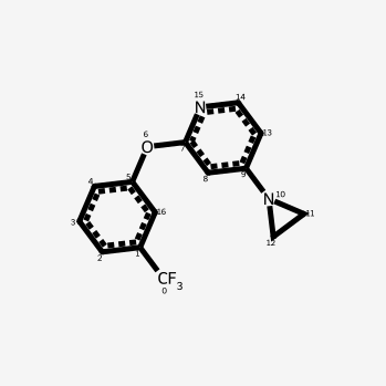 FC(F)(F)c1cccc(Oc2cc(N3CC3)ccn2)c1